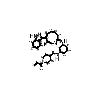 C=CC(=O)N1CCC(CN[C@H]2CCC[C@@H](N/C3=N/C=C(Cl)\C(c4n[nH]c5ccccc45)=C/CCC3)C2)CC1